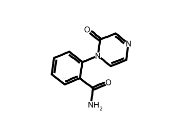 NC(=O)c1ccccc1-n1ccncc1=O